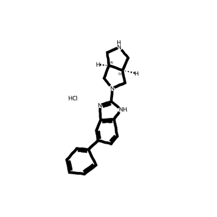 Cl.c1ccc(-c2ccc3[nH]c(N4C[C@H]5CNC[C@H]5C4)nc3c2)cc1